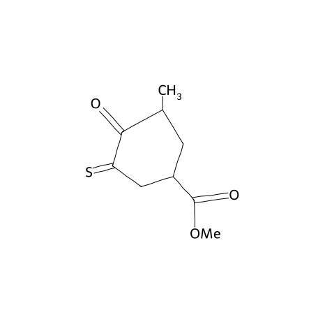 COC(=O)C1CC(=S)C(=O)C(C)C1